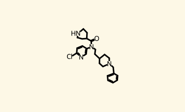 O=C(C1CCNCC1)N(CCC1CCN(Cc2ccccc2)CC1)c1ccc(Cl)nc1